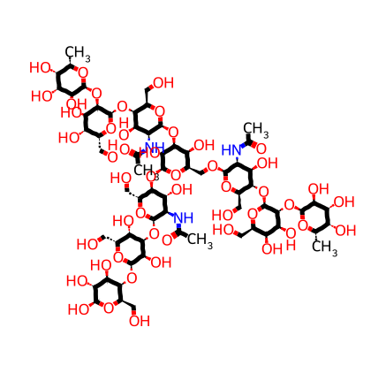 CC(=O)N[C@H]1[C@H](O[C@H]2[C@@H](O)[C@@H](CO)O[C@@H](O[C@H]3[C@H](O)[C@@H](O)[C@H](O)O[C@@H]3CO)[C@@H]2O)O[C@H](CO)[C@@H](O[C@@H]2O[C@H](CO[C@@H]3O[C@H](CO)[C@@H](O[C@@H]4O[C@H](CO)[C@H](O)[C@H](O)[C@H]4O[C@@H]4O[C@@H](C)[C@@H](O)[C@@H](O)[C@@H]4O)[C@H](O)[C@H]3NC(C)=O)[C@H](O)[C@H](O[C@@H]3O[C@H](CO)[C@@H](O[C@@H]4O[C@H](CO)[C@H](O)[C@H](O)[C@H]4O[C@@H]4O[C@@H](C)[C@@H](O)[C@@H](O)[C@@H]4O)[C@H](O)[C@H]3NC(C)=O)[C@H]2O)[C@@H]1O